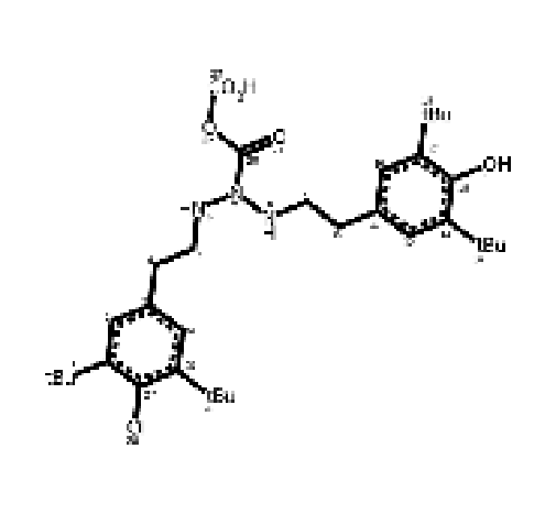 CC(C)(C)c1cc(CCNN(NCCc2cc(C(C)(C)C)c(O)c(C(C)(C)C)c2)C(=O)OC(=O)O)cc(C(C)(C)C)c1O